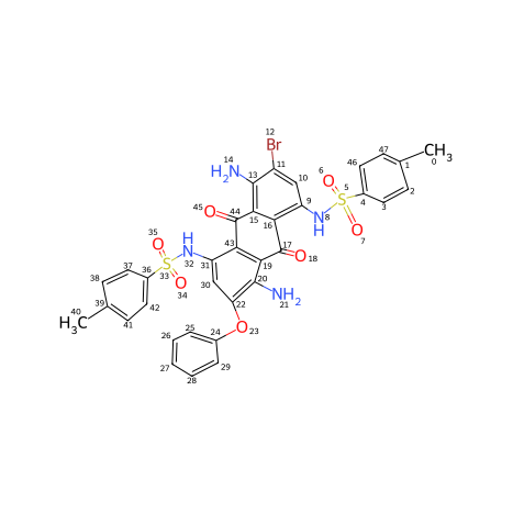 Cc1ccc(S(=O)(=O)Nc2cc(Br)c(N)c3c2C(=O)c2c(N)c(Oc4ccccc4)cc(NS(=O)(=O)c4ccc(C)cc4)c2C3=O)cc1